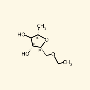 CCOC[C@H]1O[C@@H](C)C(O)[C@H]1O